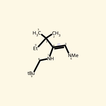 CCC(C)(C)/C(=C/NC)NCC(C)(C)C